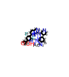 CC(=O)N(C)[C@@H]1[C@H](N)C[C@H](c2ccncc2Nc2ncc3ccc(-c4c(F)cc(C5(O)COC5)cc4F)nn23)C[C@@H]1C